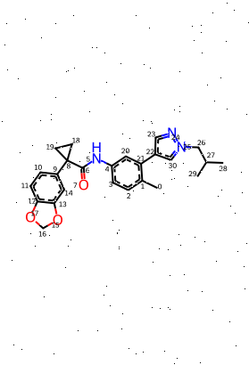 Cc1ccc(NC(=O)C2(c3ccc4c(c3)OCO4)CC2)cc1-c1cnn(CC(C)C)c1